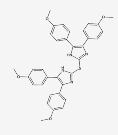 COc1ccc(-c2nc(Sc3nc(-c4ccc(OC)cc4)c(-c4ccc(OC)cc4)[nH]3)[nH]c2-c2ccc(OC)cc2)cc1